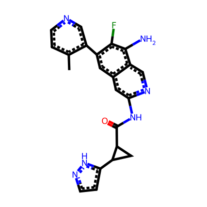 Cc1ccncc1-c1cc2cc(NC(=O)C3CC3c3ccn[nH]3)ncc2c(N)c1F